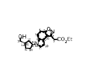 CCOC(=O)Cc1noc2ccc3c(ccn3[C@H]3CC[C@@H](CO)C3)c12